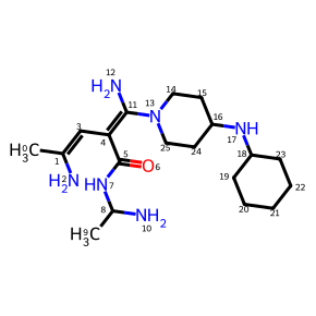 C/C(N)=C/C(C(=O)NC(C)N)=C(\N)N1CCC(NC2CCCCC2)CC1